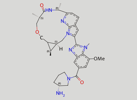 COc1cc(C(=O)N2CCC[C@@H](N)C2)cc2nc(-c3cc4ccc5nc4n3C[C@@H]3C(COC[C@H](C)C(=O)N[C@@H]5C)[C@@H]3C)n(C)c12